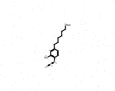 CCCCCCCCCCCCCCCc1ccc(N=C=O)c(O)c1